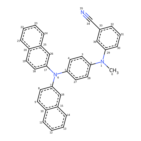 CN(c1ccc(N(c2ccc3ccccc3c2)c2ccc3ccccc3c2)cc1)c1cccc(C#N)c1